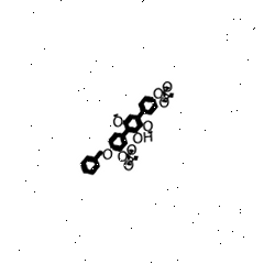 COc1cc(-c2ccc(OS(C)(=O)=O)cc2)c(OC)c(O)c1-c1ccc(OCc2ccccc2)c(OS(C)(=O)=O)c1